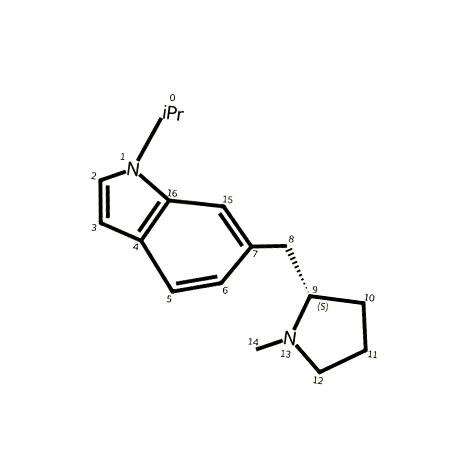 CC(C)n1ccc2ccc(C[C@@H]3CCCN3C)cc21